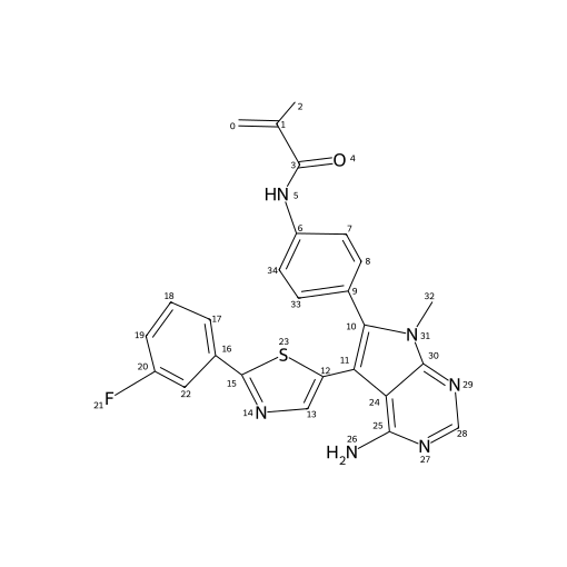 C=C(C)C(=O)Nc1ccc(-c2c(-c3cnc(-c4cccc(F)c4)s3)c3c(N)ncnc3n2C)cc1